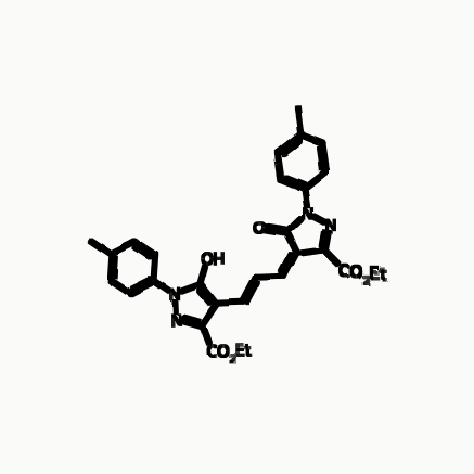 CCOC(=O)C1=NN(c2ccc(C)cc2)C(=O)C1=CC=Cc1c(C(=O)OCC)nn(-c2ccc(C)cc2)c1O